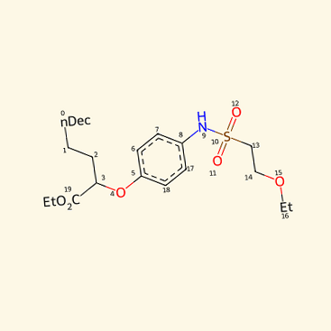 CCCCCCCCCCCCC(Oc1ccc(NS(=O)(=O)CCOCC)cc1)C(=O)OCC